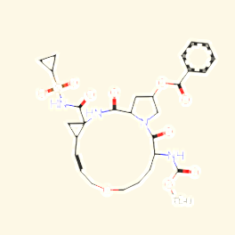 CC(C)(C)OC(=O)NC1CCCOCC=CC2CC2(C(=O)NS(=O)(=O)C2CC2)NC(=O)C2CC(OC(=O)c3ccccc3)CN2C1=O